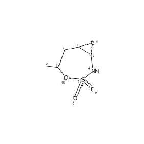 CC1CC2OC2NS(=O)(=O)O1